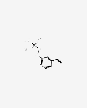 C=Cc1cccc(O[SiH2]C(CC)(OC)OC)c1